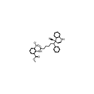 COC(=O)c1cccc([N+](=O)[O-])c1NC(=O)CCCCC(c1ccccc1)C1(C#N)C=CNc2ccccc21